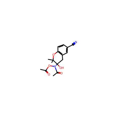 CC(=O)ON(C(C)=O)C1(O)Cc2cc(C#N)ccc2OC1(C)C